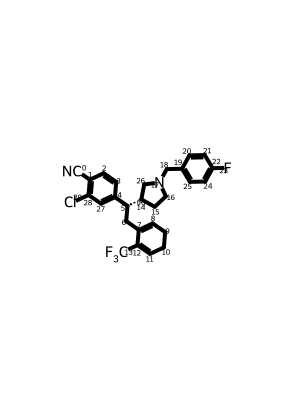 N#Cc1ccc(C(CC2=CCCC=C2C(F)(F)F)[C@H]2CCN(Cc3ccc(F)cc3)C2)cc1Cl